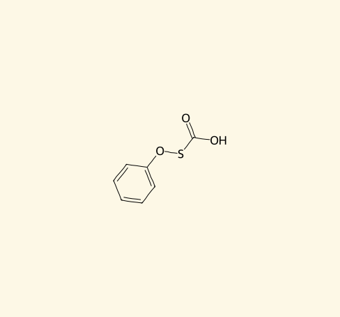 O=C(O)SOc1ccccc1